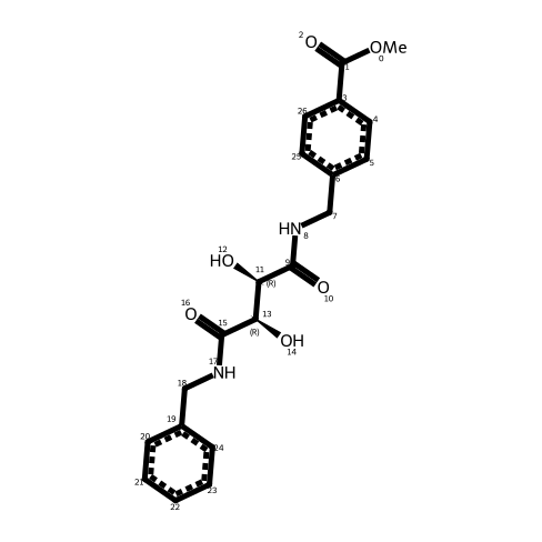 COC(=O)c1ccc(CNC(=O)[C@H](O)[C@@H](O)C(=O)NCc2ccccc2)cc1